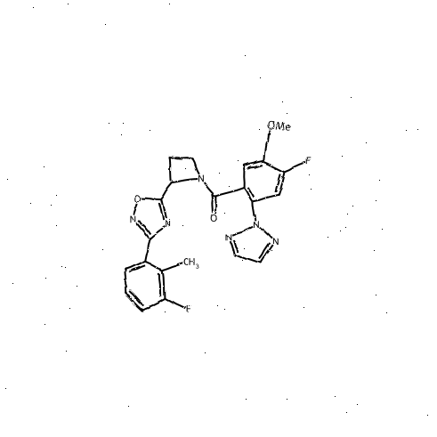 COc1cc(C(=O)N2CCC2c2nc(-c3cccc(F)c3C)no2)c(-n2nccn2)cc1F